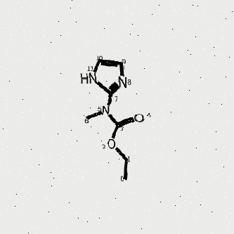 CCOC(=O)N(C)c1ncc[nH]1